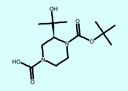 CC(C)(C)OC(=O)N1CCN(C(=O)O)C[C@H]1C(C)(C)O